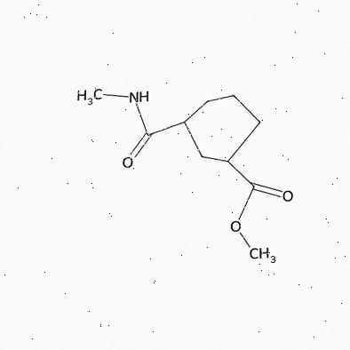 CNC(=O)C1CCCC(C(=O)OC)C1